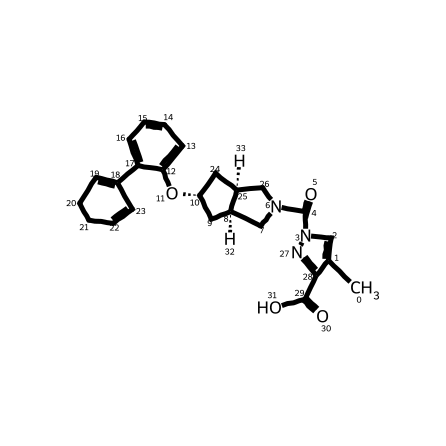 Cc1cn(C(=O)N2C[C@H]3C[C@H](Oc4ccccc4C4=CCCC=C4)C[C@H]3C2)nc1C(=O)O